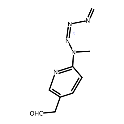 C=N/N=N\N(C)c1ccc(CC=O)cn1